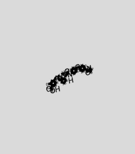 Cc1cc(CN(C)CC2(CN(C)CC(=O)Nc3ccc(Oc4ccc(-c5ncco5)cc4)cc3)CCCC2)ccc1C(=O)O